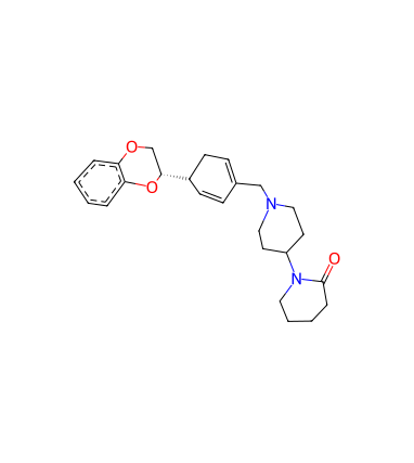 O=C1CCCCN1C1CCN(CC2=CCC([C@H]3COc4ccccc4O3)C=C2)CC1